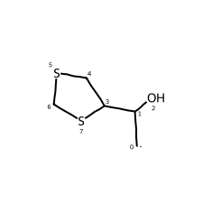 [CH2]C(O)C1CSCS1